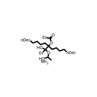 CCCCCCCCCCCCCCC(CCCCCCCCCCCCCC)(OC(=O)CC)C(O)(CC)OC(C)O.N